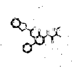 CNC(C)C(=O)Nc1ccc(-c2ccccc2)n(CC(=O)N2Cc3ccccc3C2)c1=O